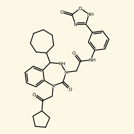 O=C(CN1NC(C2CCCCCC2)c2ccccc2N(CC(=O)C2CCCC2)C1=O)Nc1cccc(-c2nc(=O)o[nH]2)c1